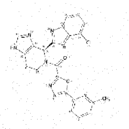 Cc1cccc(-c2nnc(C(=O)N3CCc4[nH]cnc4[C@H]3c3cc4c(Cl)cccn4n3)o2)n1